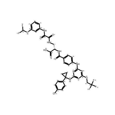 O=C(NC[C@H](NC(=O)c1ccc(Nc2nc(NC3(c4ccc(Cl)cc4)CC3)nc(OCC(F)(F)F)n2)cc1)C(=O)O)C(=O)Nc1cccc(OC(F)F)c1